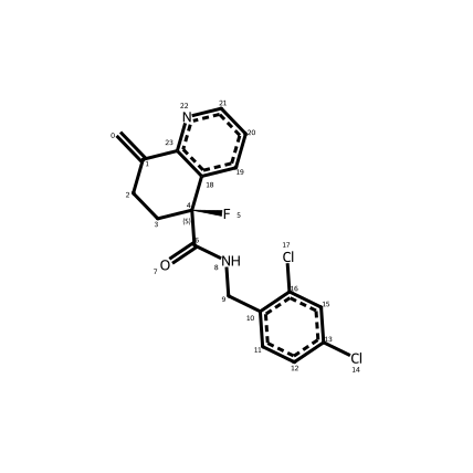 C=C1CC[C@@](F)(C(=O)NCc2ccc(Cl)cc2Cl)c2cccnc21